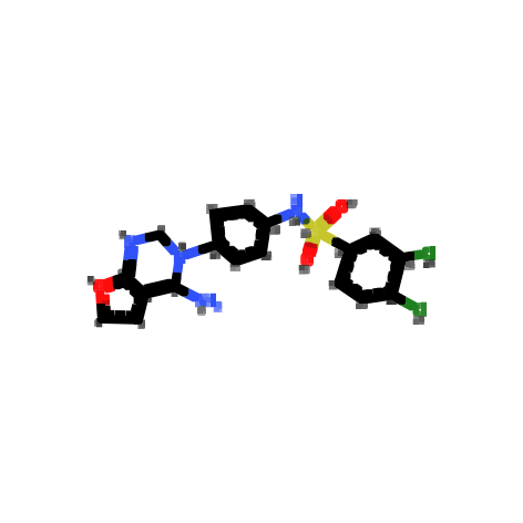 NC1=c2ccoc2=NCN1c1ccc(NS(=O)(=O)c2ccc(Cl)c(Cl)c2)cc1